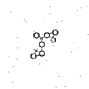 CC1(C)c2ccccc2-c2cccc(-c3ccc(N(c4ccccc4)c4ccc5c(c4)C4(CCCC4)c4ccccc4-5)cc3)c21